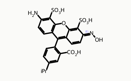 CC(C)c1ccc(-c2c3cc/c(=N\O)c(S(=O)(=O)O)c-3oc3c(S(=O)(=O)O)c(N)ccc23)c(C(=O)O)c1